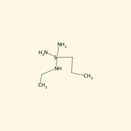 CCC[Si](N)(N)NCC